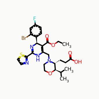 CCOC(=O)C1=C(CN2CCO[C@H](C(C)C)[C@H]2CCC(=O)O)NC(c2nccs2)=N[C@H]1c1ccc(F)cc1Br